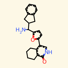 NC(c1ccc(-c2c[nH]c(=O)c3c2CCCC3)o1)C1Cc2ccccc2C1